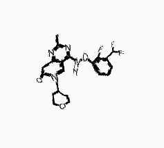 Cc1nc(NOc2cccc(C(F)F)c2F)c2cn(C3CCOCC3)c(=O)cc2n1